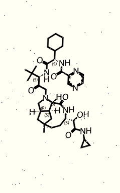 CC12CC[C@@H](C(O)C(=O)NC3CC3)NC(=O)[C@@H]3[C@@H](C1)[C@H](CN3CC(=O)[C@@H](NC(=O)[C@@H](NC(=O)c1cnccn1)C1CCCCC1)C(C)(C)C)C2